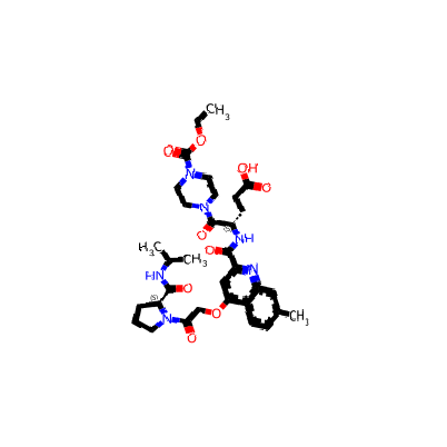 CCOC(=O)N1CCN(C(=O)[C@H](CCC(=O)O)NC(=O)c2cc(OCC(=O)N3CCC[C@H]3C(=O)NC(C)C)c3ccc(C)cc3n2)CC1